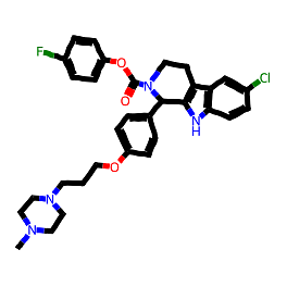 CN1CCN(CCCOc2ccc(C3c4[nH]c5ccc(Cl)cc5c4CCN3C(=O)Oc3ccc(F)cc3)cc2)CC1